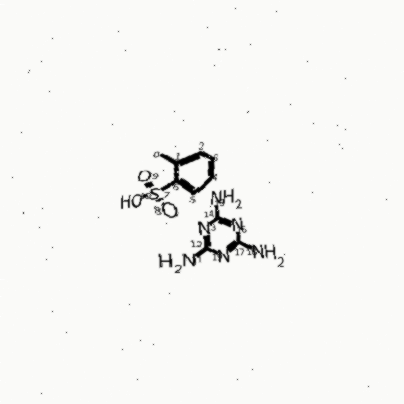 Cc1ccccc1S(=O)(=O)O.Nc1nc(N)nc(N)n1